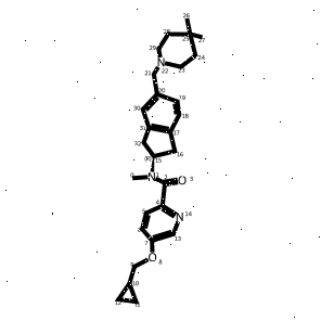 CN(C(=O)c1ccc(OCC2CC2)cn1)[C@@H]1Cc2ccc(CN3CCC(C)(C)CC3)cc2C1